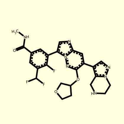 CNC(=O)c1cc(-c2cnc3cc(-c4cnn5c4CNCC5)c(OC4CCOC4)nn23)c(F)c(C(F)F)c1